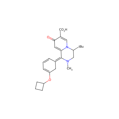 CN1CC(C(C)(C)C)n2cc(C(=O)O)c(=O)cc2/C1=C1\C=CC=C(OC2CCC2)C1